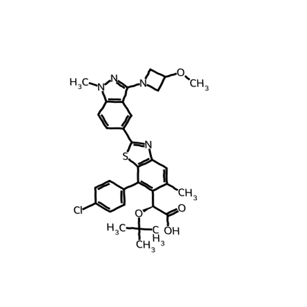 COC1CN(c2nn(C)c3ccc(-c4nc5cc(C)c([C@H](OC(C)(C)C)C(=O)O)c(-c6ccc(Cl)cc6)c5s4)cc23)C1